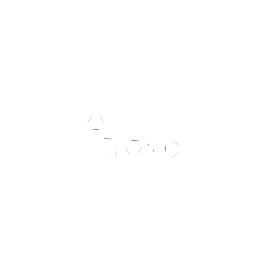 Cc1cc2c(cc1C)CN(c1ccc(C(=O)C=Cc3ccc(O)cc3)cc1)C2